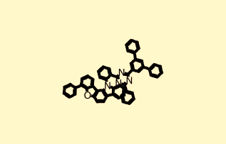 c1ccc(-c2cc(-c3ccccc3)cc(-c3nc(-c4ccccc4)nc(-c4ccccc4-n4c5ccccc5c5ccc6oc7c(-c8ccccc8)cccc7c6c54)n3)c2)cc1